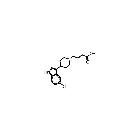 O=C(O)CCCN1CCC(c2c[nH]c3ccc(Cl)cc23)CC1